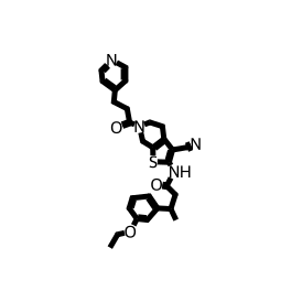 CCOc1cccc(C(C)CC(=O)Nc2sc3c(c2C#N)CCN(C(=O)CCc2ccncc2)C3)c1